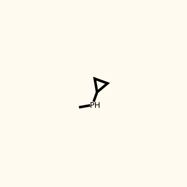 CPC1CC1